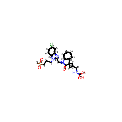 CS(=O)(=O)CCCn1c(CN2C(=O)C3(CC(CNC(=O)O)C3)c3ccccc32)nc2cc(Cl)ccc21